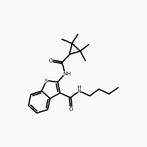 CCCCNC(=O)c1c(NC(=O)C2C(C)(C)C2(C)C)sc2ccccc12